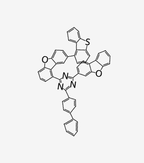 c1ccc(-c2ccc(-c3nc(-c4ccc5c(c4)oc4ccccc45)nc(-c4cccc5oc6ccc(-c7cccc8sc9ccccc9c78)cc6c45)n3)cc2)cc1